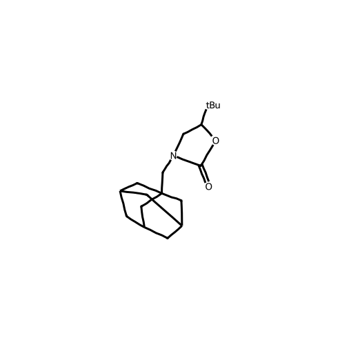 CC(C)(C)C1CN(CC23CC4CC(CC(C4)C2)C3)C(=O)O1